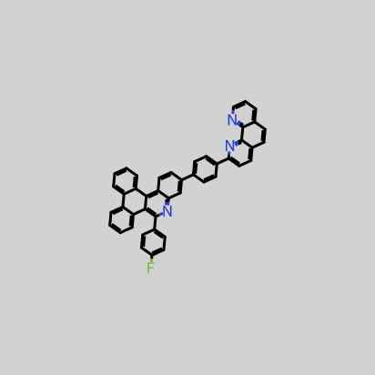 Fc1ccc(-c2nc3cc(-c4ccc(-c5ccc6ccc7cccnc7c6n5)cc4)ccc3c3c4ccccc4c4ccccc4c23)cc1